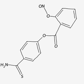 NC(=S)c1ccc(OC(=O)c2ccccc2ON=O)cc1